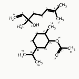 C=CC(C)(O)CCC=C(C)C.CC(=O)OC1CC(C(C)C)CCC1C